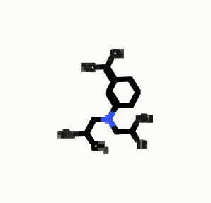 CCCCC(C)CN(CC(CC)CCCC)C1=CC(=C(C#N)C#N)CCC1